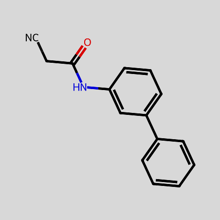 N#CCC(=O)Nc1cccc(-c2ccccc2)c1